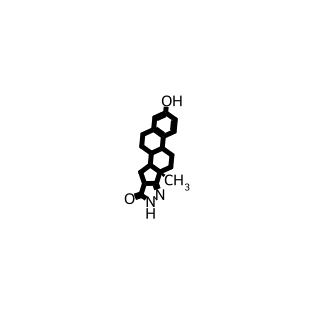 C[C@]12CCC3c4ccc(O)cc4CCC3C1CC1C(=O)NN=C12